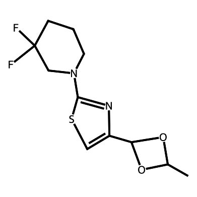 CC1OC(c2csc(N3CCCC(F)(F)C3)n2)O1